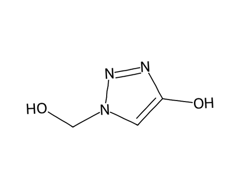 OCn1cc(O)nn1